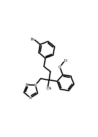 CCOc1ccccc1C(C#N)(CCc1cccc(Br)c1)Cn1cncn1